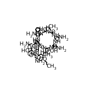 CCCCOC(=O)C(C)CC(=O)N[C@@H](CCN)C(=O)N[C@H](C(=O)N[C@@H](CCN)C(=O)N[C@H]1CCNC(=O)[C@H](C(C)O)NC(=O)[C@H](CCN)NC(=O)[C@H](CCN)NC(=O)[C@H](CC(C)C)NC(=O)[C@@H](Cc2ccccc2)NC(=O)[C@H](CCN)NC1=O)C(C)O